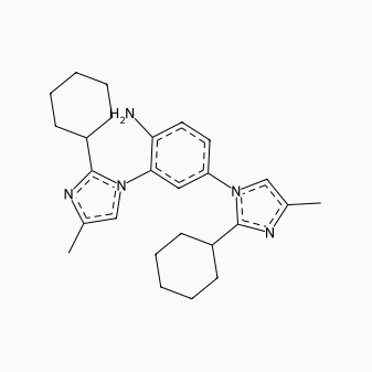 Cc1cn(-c2ccc(N)c(-n3cc(C)nc3C3CCCCC3)c2)c(C2CCCCC2)n1